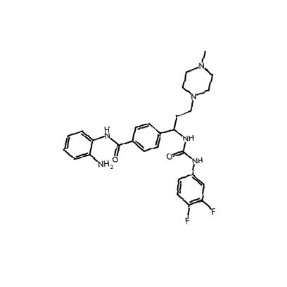 CN1CCN(CCC(NC(=O)Nc2ccc(F)c(F)c2)c2ccc(C(=O)Nc3ccccc3N)cc2)CC1